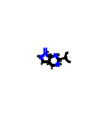 CC(C)c1ncc2cn[nH]c2n1